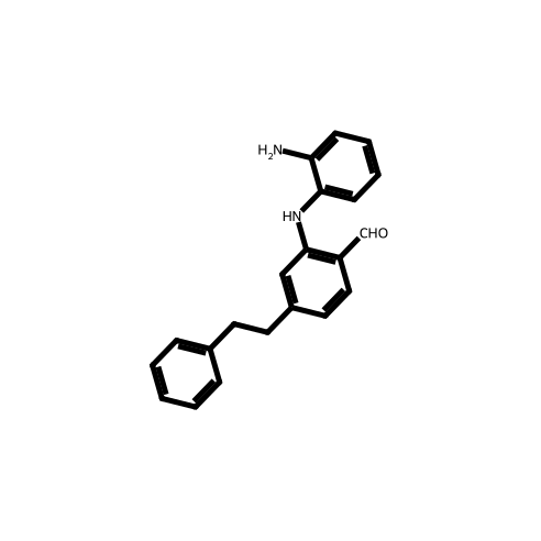 Nc1ccccc1Nc1cc(CCc2ccccc2)ccc1C=O